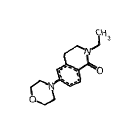 CCN1CCc2cc(N3CCOCC3)ccc2C1=O